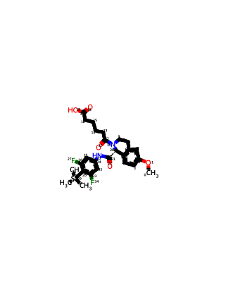 COc1ccc2c(c1)CCN(C(=O)CCCCC(=O)O)[C@H]2C(=O)Nc1cc(F)c([Si](C)(C)C)c(F)c1